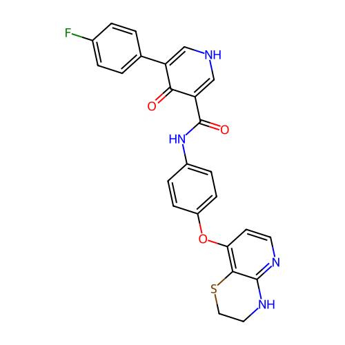 O=C(Nc1ccc(Oc2ccnc3c2SCCN3)cc1)c1c[nH]cc(-c2ccc(F)cc2)c1=O